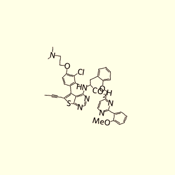 CC#Cc1sc2ncnc(NC(Cc3ccccc3OCc3ccnc(-c4ccccc4OC)n3)C(=O)O)c2c1-c1ccc(OCCN(C)C)c(Cl)c1C